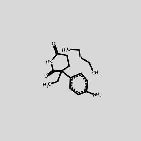 CCC1(c2ccc(N)cc2)CCC(=O)NC1=O.CCOCC